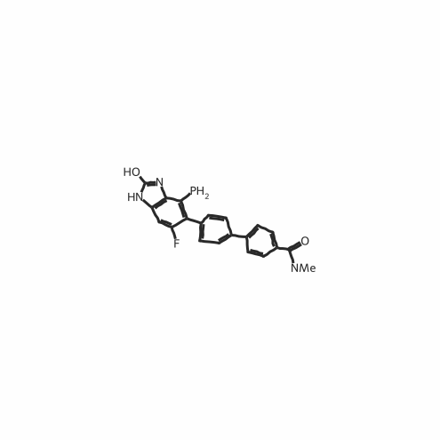 CNC(=O)c1ccc(-c2ccc(-c3c(F)cc4[nH]c(O)nc4c3P)cc2)cc1